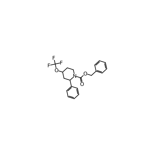 O=C(OCc1ccccc1)N1CCC(OC(F)(F)F)CC1c1ccccc1